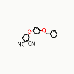 N#Cc1ccc(Oc2ccc(OCc3ccccc3)cc2)cc1C#N